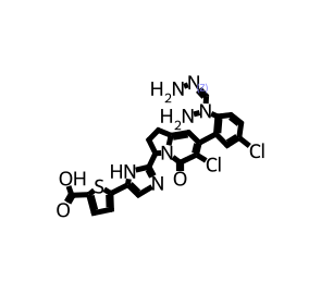 N/N=C\N(N)c1ccc(Cl)cc1-c1cc2n(c(=O)c1Cl)C(c1ncc(-c3ccc(C(=O)O)s3)[nH]1)CC2